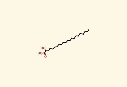 CCCCCCCCCCCCCCCCCCCCC(O)C(=O)O